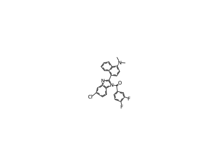 CN(C)c1ccc(-c2nc3cc(Cl)ccc3n2C(=O)c2ccc(F)c(F)c2)c2ccccc12